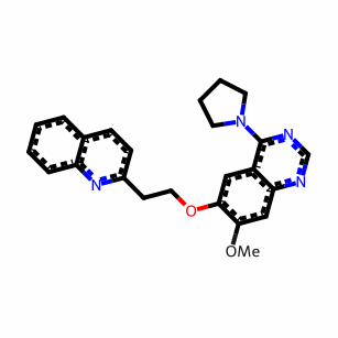 COc1cc2ncnc(N3CCCC3)c2cc1OCCc1ccc2ccccc2n1